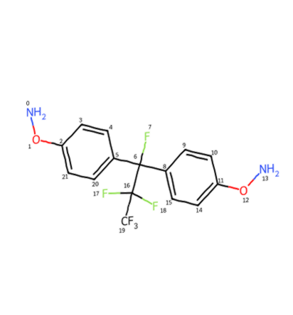 NOc1ccc(C(F)(c2ccc(ON)cc2)C(F)(F)C(F)(F)F)cc1